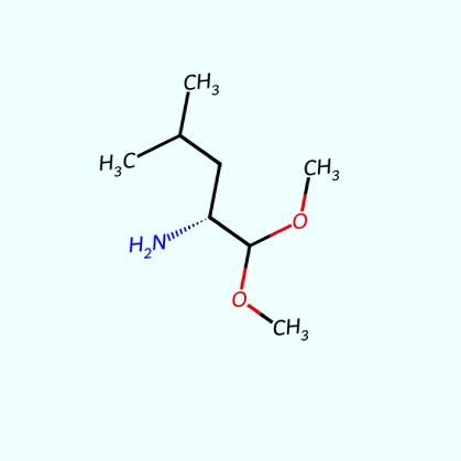 COC(OC)[C@H](N)CC(C)C